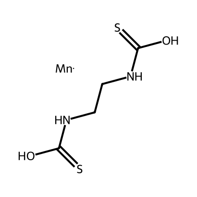 OC(=S)NCCNC(O)=S.[Mn]